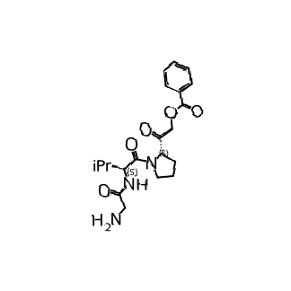 CC(C)[C@H](NC(=O)CN)C(=O)N1CCC[C@H]1C(=O)COC(=O)c1ccccc1